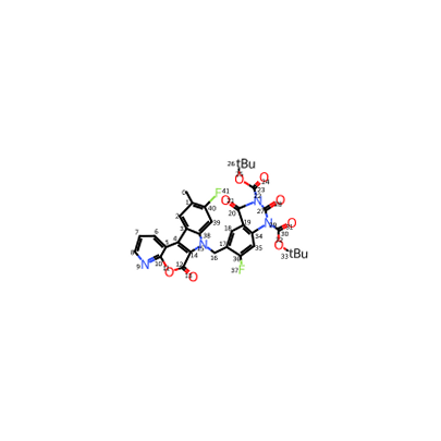 Cc1cc2c3c4cccnc4oc(=O)c3n(Cc3cc4c(=O)n(C(=O)OC(C)(C)C)c(=O)n(C(=O)OC(C)(C)C)c4cc3F)c2cc1F